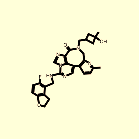 Cc1ccc2c(n1)CN(CC1CC(C)(O)C1)C(=O)c1ncn3c(NCc4c(F)ccc5c4CCO5)ncc-2c13